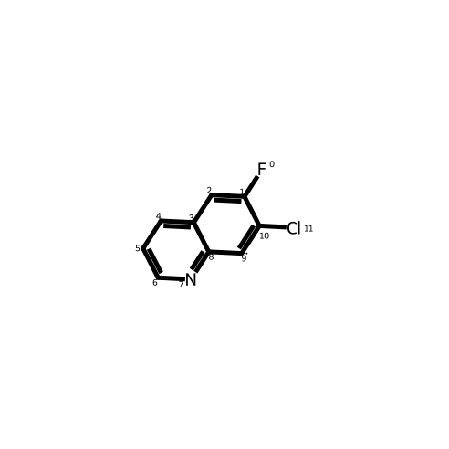 Fc1cc2cccnc2[c]c1Cl